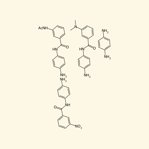 CC(=O)Nc1cccc(C(=O)Nc2ccc(N)cc2)c1.CN(C)c1cccc(C(=O)Nc2ccc(N)cc2)c1.Nc1ccc(N)cc1.Nc1ccc(NC(=O)c2cccc([N+](=O)[O-])c2)cc1